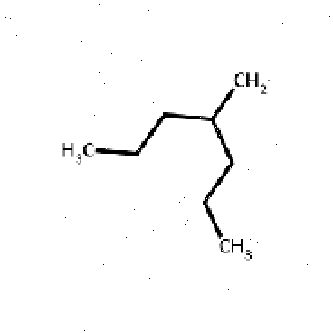 [CH2]C(CCC)CCC